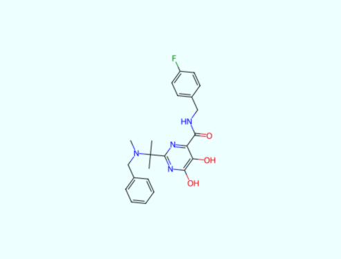 CN(Cc1ccccc1)C(C)(C)c1nc(O)c(O)c(C(=O)NCc2ccc(F)cc2)n1